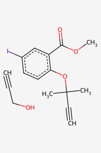 C#CC(C)(C)Oc1ccc(I)cc1C(=O)OC.C#CCO